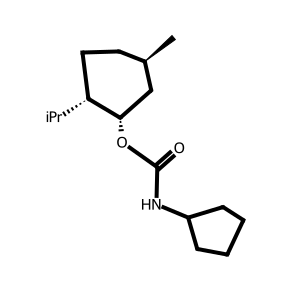 CC(C)[C@@H]1CC[C@@H](C)C[C@@H]1OC(=O)NC1CCCC1